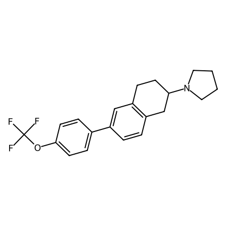 FC(F)(F)Oc1ccc(-c2ccc3c(c2)CCC(N2CCCC2)C3)cc1